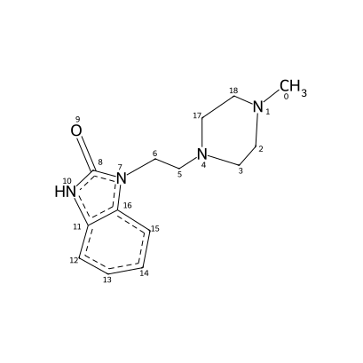 CN1CCN(CCn2c(=O)[nH]c3ccccc32)CC1